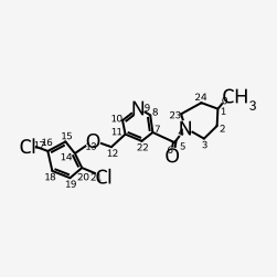 CC1CCN(C(=O)c2cncc(COc3cc(Cl)ccc3Cl)c2)CC1